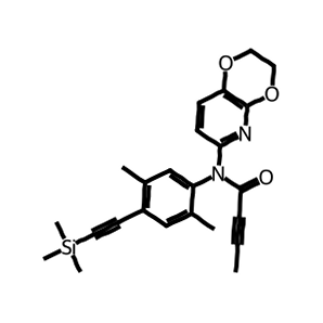 CC#CC(=O)N(c1ccc2c(n1)OCCO2)c1cc(C)c(C#C[Si](C)(C)C)cc1C